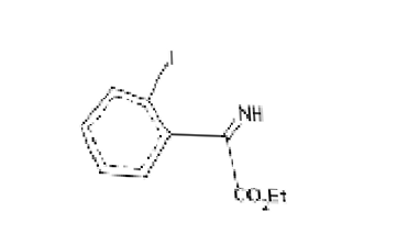 CCOC(=O)C(=N)c1ccccc1I